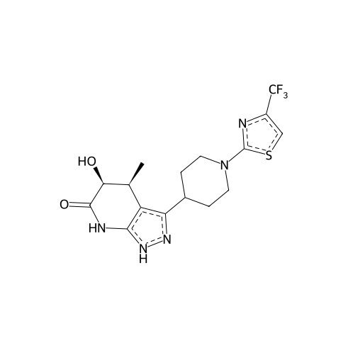 C[C@H]1c2c(C3CCN(c4nc(C(F)(F)F)cs4)CC3)n[nH]c2NC(=O)[C@H]1O